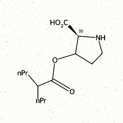 CCCC(CCC)C(=O)OC1CCN[C@@H]1C(=O)O